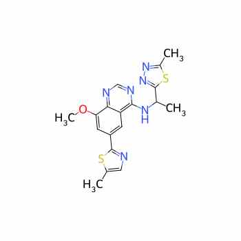 COc1cc(-c2ncc(C)s2)cc2c(NC(C)c3nnc(C)s3)ncnc12